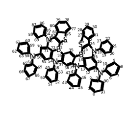 c1ccc(N(c2ccccc2)c2cc3c4c(c2)N(c2ccccc2)c2c(sc5ccccc25)B4c2cc4c(cc2N3c2ccccc2)N(c2ccccc2)c2cc(N(c3ccccc3)c3ccccc3)cc3c2B4c2sc4ccccc4c2N3c2ccccc2)cc1